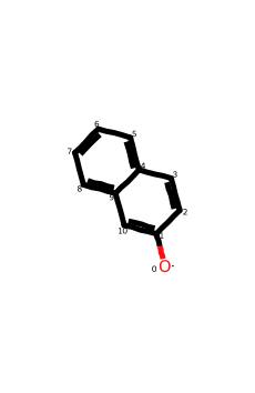 [O]c1ccc2ccccc2c1